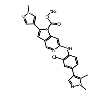 Cc1c(-c2ccc(Nc3cc4c(cn3)cc(-c3cnn(C)c3)n4C(=O)OC(C)(C)C)c(Cl)c2)cnn1C